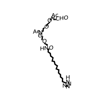 CC(=O)N(C[C]=O)OCCOCCN(OCCOCCNC(=O)CCCCCCCCCCCCCCCc1nnn[nH]1)C(C)=O